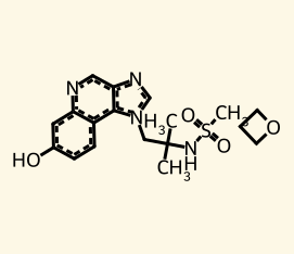 C1COC1.CC(C)(Cn1cnc2cnc3cc(O)ccc3c21)NS(C)(=O)=O